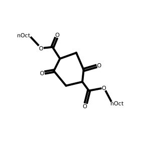 CCCCCCCCOC(=O)C1CC(=O)C(C(=O)OCCCCCCCC)CC1=O